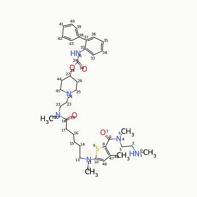 CNCCN(C)C(=O)c1sc(N(C)CCCCCC(=O)N(C)CCN2CCC(OC(=O)Nc3ccccc3-c3ccccc3)CC2)cc1C